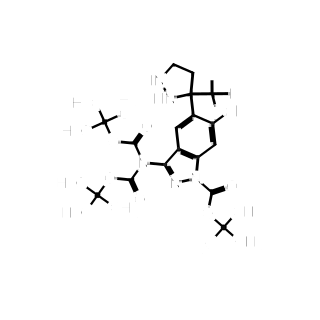 CC(C)(C)OC(=O)N(C(=O)OC(C)(C)C)c1nn(C(=O)OC(C)(C)C)c2cc(Cl)c(C3(C(F)(F)F)CCNN3)cc12